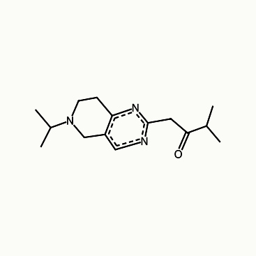 CC(C)C(=O)Cc1ncc2c(n1)CCN(C(C)C)C2